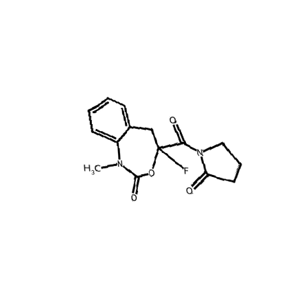 CN1C(=O)OC(F)(C(=O)N2CCCC2=O)Cc2ccccc21